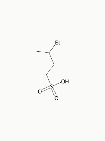 [CH2]CC(C)CCS(=O)(=O)O